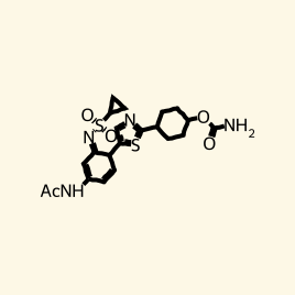 CC(=O)NC1=CC(=NS(=O)(=O)C2CC2)C(c2cnc(C3CCC(OC(N)=O)CC3)s2)C=C1